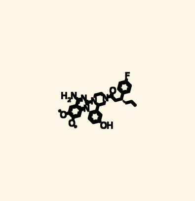 CCC[C@H](CC(=O)N1CCN(c2nc(N)c3cc(OC)c(OC)cc3n2)C(c2cccc(O)c2)C1)c1ccc(F)cc1